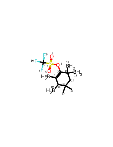 BC1=C(OS(=O)(=O)C(F)(F)F)C(B)(B)CC(C)(C)C1B